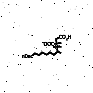 CCCCCCCCCCCCCCCCC(C)[N+](C)(C)C(C)(CC(=O)O)C(=O)[O-]